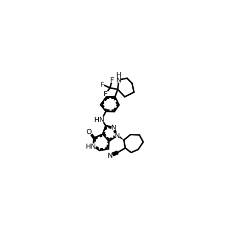 N#CC1CCCCC[C@@H]1n1nc(Nc2ccc(C3(C(F)(F)F)CCCCN3)cc2)c2c(=O)[nH]ccc21